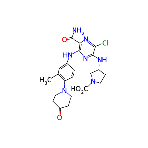 Cc1cc(Nc2nc(N[C@@H]3CCN(C(=O)O)C3)c(Cl)nc2C(N)=O)ccc1N1CCC(=O)CC1